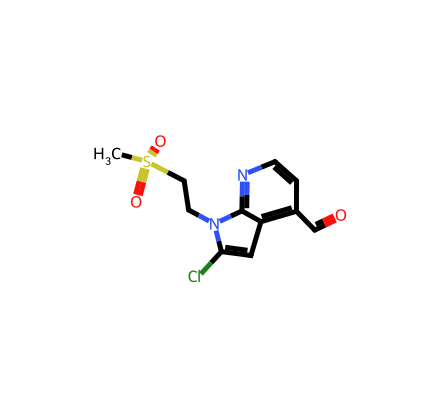 CS(=O)(=O)CCn1c(Cl)cc2c(C=O)ccnc21